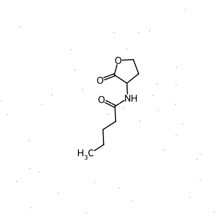 CCCCC(=O)NC1CCOC1=O